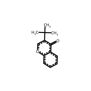 CC(C)(C)c1coc2ccccc2c1=O